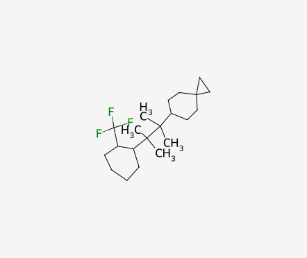 CC(C)(C1CCC2(CC1)CC2)C(C)(C)C1CCCCC1C(F)(F)F